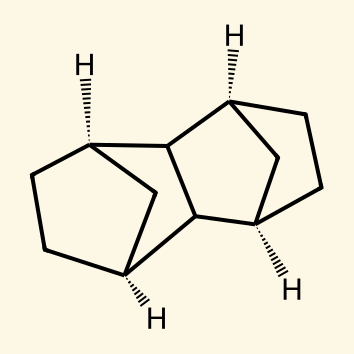 C1C[C@H]2C[C@@H]1C1C2[C@@H]2CC[C@H]1C2